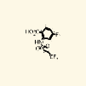 O=C(O)c1ccc(F)cc1NS(=O)(=O)CCC(F)(F)F